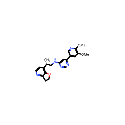 COc1cc(-c2cc(NC[C@@H](C)c3ccnc4c3OCC4)ncn2)cnc1OC